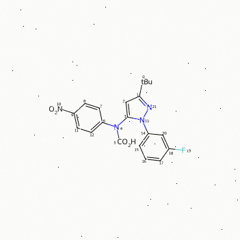 CC(C)(C)c1cc(N(C(=O)O)c2ccc([N+](=O)[O-])cc2)n(-c2cccc(F)c2)n1